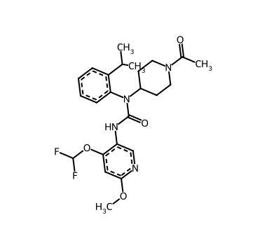 COc1cc(OC(F)F)c(NC(=O)N(c2ccccc2C(C)C)C2CCN(C(C)=O)CC2)cn1